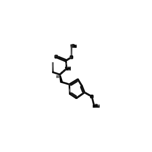 CCCCOc1ccc(C[C@@H](CI)NC(=O)OC(C)(C)C)cc1